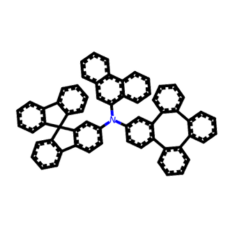 c1ccc2c(c1)-c1ccccc1-c1ccc(N(c3ccc4c(c3)C3(c5ccccc5-c5ccccc53)c3ccccc3-4)c3cc4ccccc4c4ccccc34)cc1-c1ccccc1-2